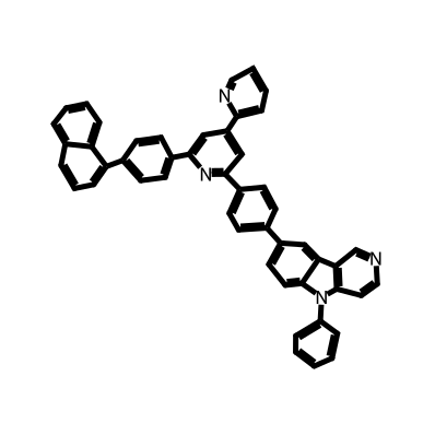 c1ccc(-n2c3ccncc3c3cc(-c4ccc(-c5cc(-c6ccccn6)cc(-c6ccc(-c7cccc8ccccc78)cc6)n5)cc4)ccc32)cc1